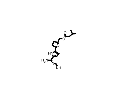 CC(C)CC(=O)OCC1CCC(c2ccc(/C(N)=N\C=N)[nH]2)O1